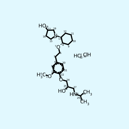 COc1cc(CCO[C@H]2CCCC[C@@H]2N2CCC(O)C2)ccc1OCC(O)CNC(C)C.Cl.Cl